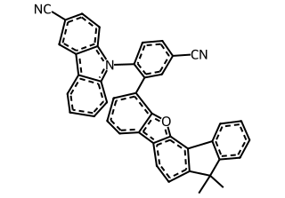 CC1(C)c2ccccc2-c2c1ccc1c2oc2c(-c3cc(C#N)ccc3-n3c4ccccc4c4cc(C#N)ccc43)cccc21